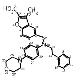 Cc1c(C(=O)O)oc2ccc(SN(CCc3ccccc3)c3ccc(N4CCOCC4)cc3)cc12